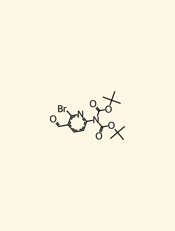 CC(C)(C)OC(=O)N(C(=O)OC(C)(C)C)c1ccc(C=O)c(Br)n1